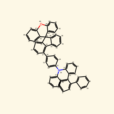 c1ccc(-c2ccccc2-c2ccccc2N(c2ccccc2)c2ccc(-c3cccc4c3-c3ccccc3C43c4ccccc4Oc4ccccc43)cc2)cc1